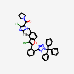 CCCCc1nc(Cl)c(C(=O)N2CCCC2)n1Cc1ccc2oc(-c3ccccc3-c3nnn(C(c4ccccc4)(c4ccccc4)c4ccccc4)n3)c(Br)c2c1